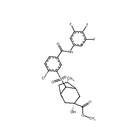 COC(=O)[C@@]1(O)CC2C[C@H](C)C(C1)C2S(=O)(=O)c1cc(C(=O)Nc2cc(F)c(F)c(F)c2)ccc1Cl